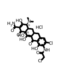 CN(C)[C@@H]1C(O)=C(C(N)=O)C(=O)[C@@]2(O)C(O)=C3C(=O)c4c(cc(Cl)c(NC(=O)CCl)c4O)CC3CC12.Cl